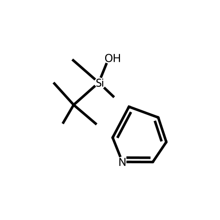 CC(C)(C)[Si](C)(C)O.c1ccncc1